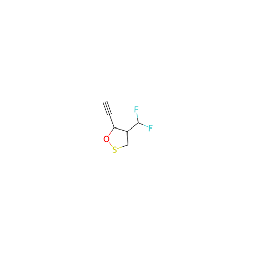 C#CC1OSCC1C(F)F